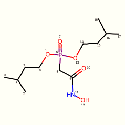 CC(C)CCOP(=O)(CC(=O)NO)OCCC(C)C